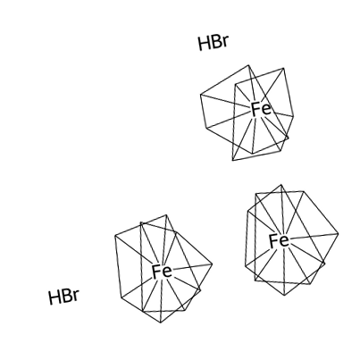 Br.Br.[CH]12[CH]3[CH]4[CH]5[CH]1[Fe]23451678[CH]2[CH]1[CH]6[CH]7[CH]28.[CH]12[CH]3[CH]4[CH]5[CH]1[Fe]23451678[CH]2[CH]1[CH]6[CH]7[CH]28.[CH]12[CH]3[CH]4[CH]5[CH]1[Fe]23451678[CH]2[CH]1[CH]6[CH]7[CH]28